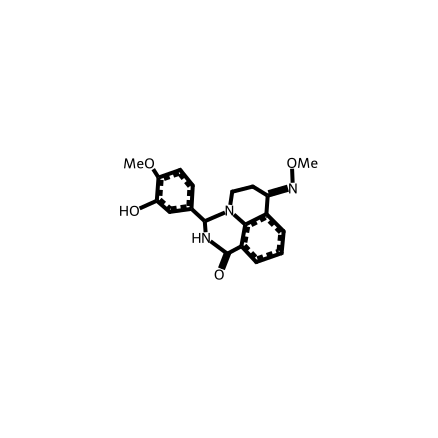 CON=C1CCN2c3c(cccc31)C(=O)NC2c1ccc(OC)c(O)c1